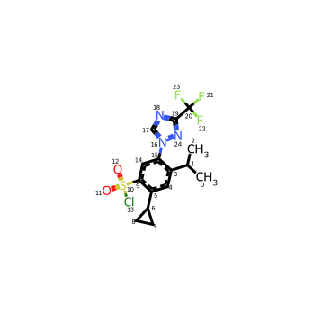 CC(C)c1cc(C2CC2)c(S(=O)(=O)Cl)cc1-n1cnc(C(F)(F)F)n1